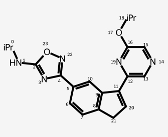 CC(C)Nc1nc(-c2ccc3c(c2)C(c2cncc(OC(C)C)n2)=CC3)no1